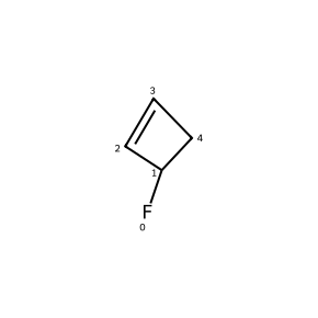 FC1C=CC1